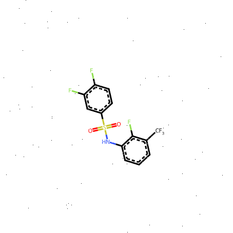 O=S(=O)(Nc1cccc(C(F)(F)F)c1F)c1ccc(F)c(F)c1